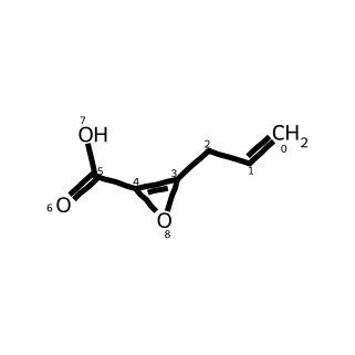 C=CCC1=C(C(=O)O)O1